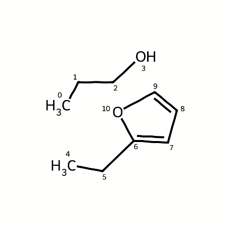 CCCO.CCc1ccco1